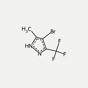 Cc1[nH]nc(C(F)(F)F)c1Br